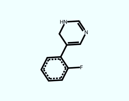 Fc1ccccc1C1=CN=[C]NC1